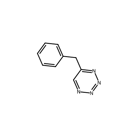 c1ccc(Cc2cnnnn2)cc1